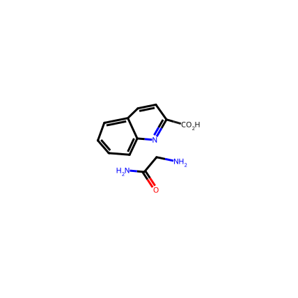 NCC(N)=O.O=C(O)c1ccc2ccccc2n1